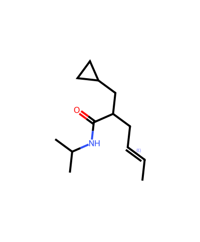 C/C=C/CC(CC1CC1)C(=O)NC(C)C